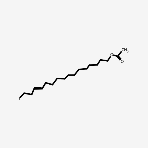 CC(=O)OCCCCCCCCCCCC/C=C/CCI